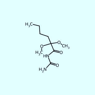 CCCCC(OC)(OC)C(=O)NC(N)=O